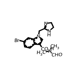 CN(C)C=O.O=C(O)c1cn(CC2=NCCN2)c2cc(Br)ccc12